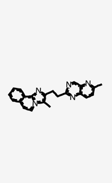 Cc1ccc2nc(CCc3nc4c5ccccc5ccn4c3C)ncc2n1